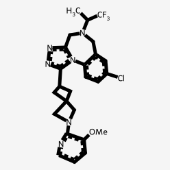 COc1cccnc1N1CC2(CC(c3nnc4n3-c3ccc(Cl)cc3CN(C(C)C(F)(F)F)C4)C2)C1